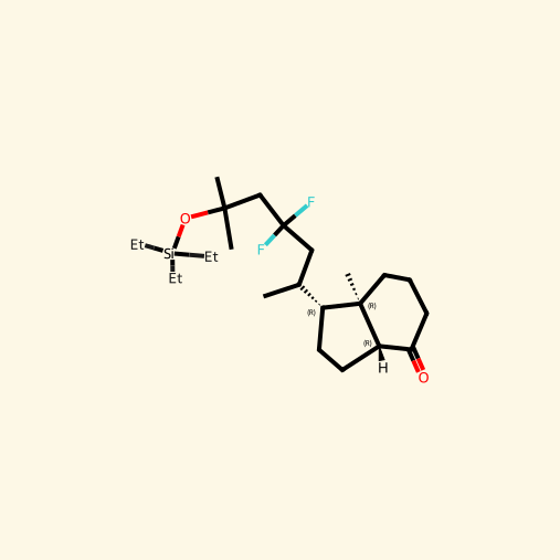 CC[Si](CC)(CC)OC(C)(C)CC(F)(F)CC(C)[C@H]1CC[C@H]2C(=O)CCC[C@]12C